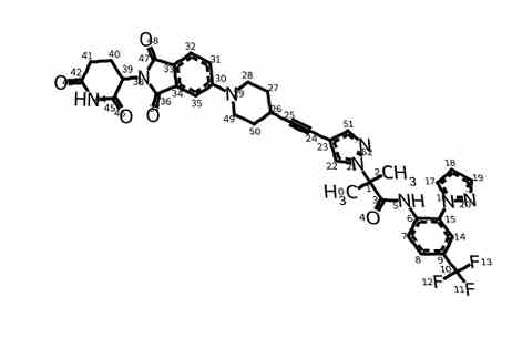 CC(C)(C(=O)Nc1ccc(C(F)(F)F)cc1-n1cccn1)n1cc(C#CC2CCN(c3ccc4c(c3)C(=O)N(C3CCC(=O)NC3=O)C4=O)CC2)cn1